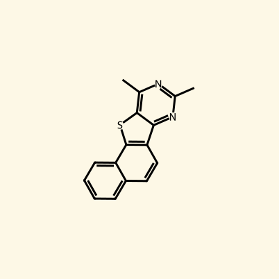 Cc1nc(C)c2sc3c4ccccc4ccc3c2n1